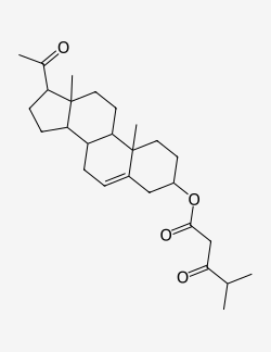 CC(=O)C1CCC2C3CC=C4CC(OC(=O)CC(=O)C(C)C)CCC4(C)C3CCC12C